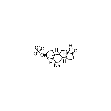 C[C@]12CC[C@@H](OS(=O)(=O)[O-])C[C@H]1CC[C@@H]1[C@@H]2CC[C@]2(C)C(=O)CC[C@@H]12.[Na+]